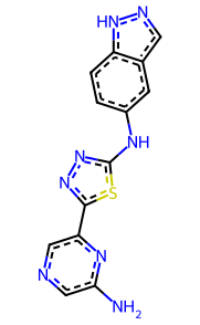 Nc1cncc(-c2nnc(Nc3ccc4[nH]ncc4c3)s2)n1